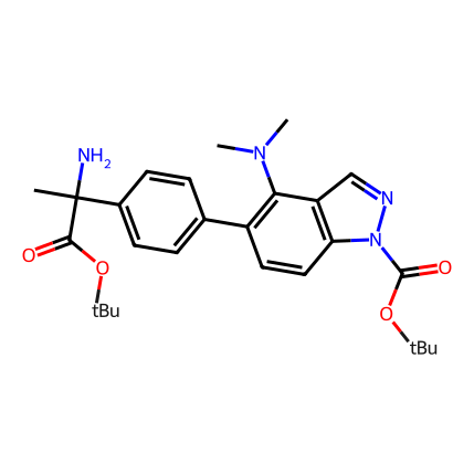 CN(C)c1c(-c2ccc(C(C)(N)C(=O)OC(C)(C)C)cc2)ccc2c1cnn2C(=O)OC(C)(C)C